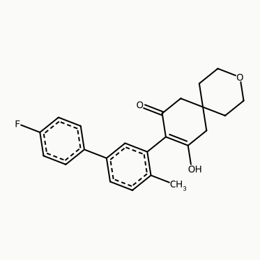 Cc1ccc(-c2ccc(F)cc2)cc1C1=C(O)CC2(CCOCC2)CC1=O